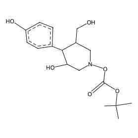 CC(C)(C)OC(=O)ON1CC(O)C(c2ccc(O)cc2)C(CO)C1